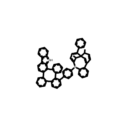 CC1C=CC2=CC13C(c1ccccc1)=CC=C(C3C)N(c1ccc(-c3cccc4c3-c3ccccc3-c3c(ccc5c3[nH]c3ccccc35)-c3ccccc3-4)cc1)c1ccccc12